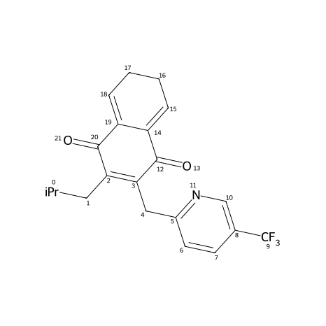 CC(C)CC1=C(Cc2ccc(C(F)(F)F)cn2)C(=O)C2=CCCC=C2C1=O